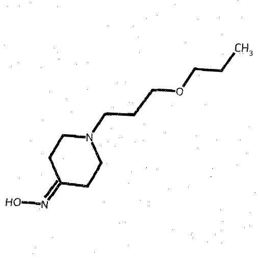 CCCOCCCN1CCC(=NO)CC1